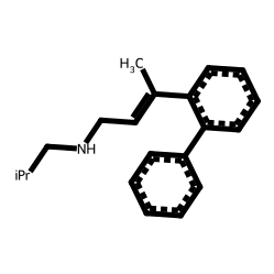 CC(=CCNCC(C)C)c1ccccc1-c1ccccc1